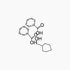 O=C(O)c1ccccc1.O=C(O)c1ccccc1.OCC1CCCCC1